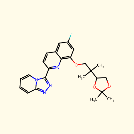 CC1(C)OCC(C(C)(C)COc2cc(F)cc3ccc(-c4nnc5ccccn45)nc23)O1